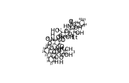 CCC1OC(OC2C(CO)OC(OC3C(O)C(NC(=O)OCc4ccccc4)CC(NC(=O)OCc4ccccc4)C3OC3OC(CO)C(O)C(O)C3C)C2O)C(NC(=O)OCc2ccccc2)C(O)C1O